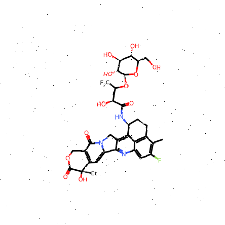 CC[C@@]1(O)C(=O)OCc2c1cc1n(c2=O)Cc2c-1nc1cc(F)c(C)c3c1c2[C@@H](NC(=O)[C@@H](O)C(O[C@@H]1O[C@H](CO)[C@@H](O)[C@H](O)[C@H]1O)C(F)(F)F)CC3